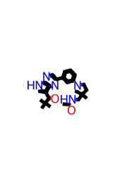 CC(=O)NCC1(C)CCN(c2cccc(-c3cnc4[nH]cc(C(=O)C(C)(C)C)c4n3)c2)C1